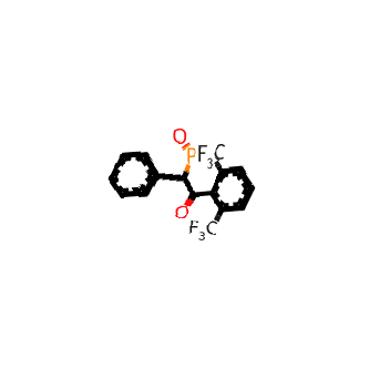 O=PC(C(=O)c1c(C(F)(F)F)cccc1C(F)(F)F)c1ccccc1